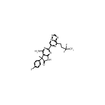 CC1(c2ccc(F)cc2)C(=O)Nc2nc(-c3cn4ncnc4c(CCC(F)(F)C(F)(F)F)n3)nc(N)c21